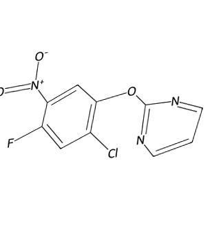 O=[N+]([O-])c1cc(Oc2ncccn2)c(Cl)cc1F